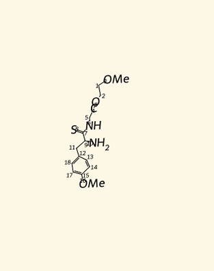 COCCOCCNC(=S)[C@@H](N)Cc1ccc(OC)cc1